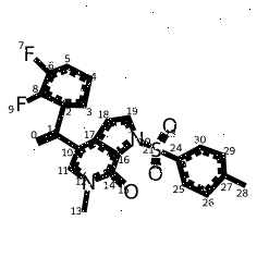 C=C(c1cccc(F)c1F)c1cn(C)c(=O)c2c1ccn2S(=O)(=O)c1ccc(C)cc1